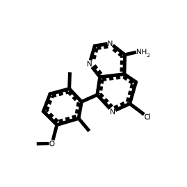 COc1ccc(C)c(-c2nc(Cl)cc3c(N)ncnc23)c1C